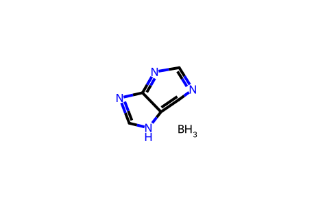 B.c1ncc2[nH]cnc2n1